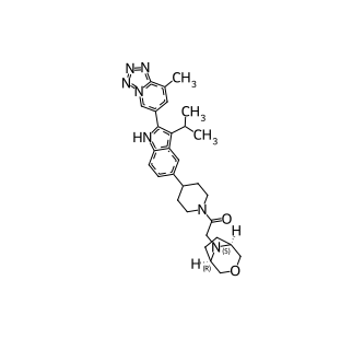 Cc1cc(-c2[nH]c3ccc(C4CCN(C(=O)CN5[C@@H]6CC[C@H]5COC6)CC4)cc3c2C(C)C)cn2nnnc12